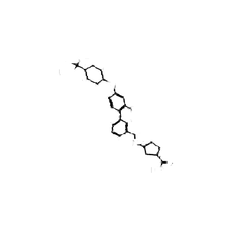 CC(C)(C)C1CCC(Oc2ccc(-c3cccc(CNC4CCC(C(=O)O)C4)c3)c(F)c2)CC1